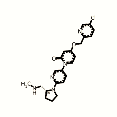 CNC[C@H]1CCCN1c1ccc(-n2ccc(OCc3ccc(Cl)cn3)cc2=O)cn1